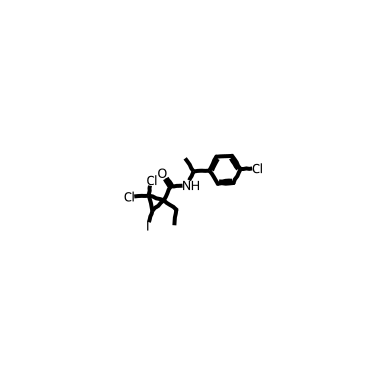 CCC1(C(=O)NC(C)c2ccc(Cl)cc2)C(I)C1(Cl)Cl